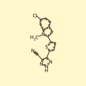 Cn1c(-c2ccc(-c3n[nH]nc3C#N)s2)cc2ccc(Cl)cc21